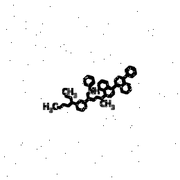 CCCCC(CCC)C1C=C(/C(=C/CC(C)C2C=CC(C3=C4CCC=CC4=C(c4ccccc4)CC3)=C3C=CCCC32)CNC2=CC=CCC2)CCC1